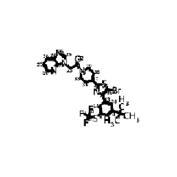 CC(C)(C)c1cc(SC(F)(F)F)cc(-c2nc(C3CCN(C(=O)Cn4cnc5cccnc54)CC3)sc2Br)c1